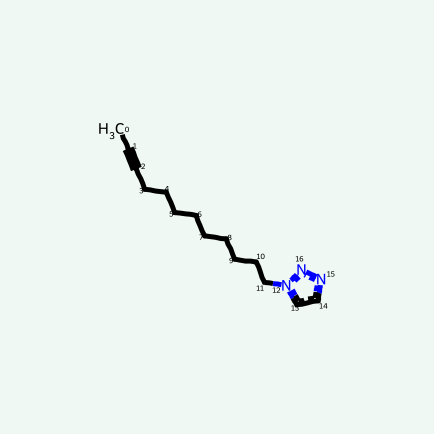 CC#CCCCCCCCCCn1ccnn1